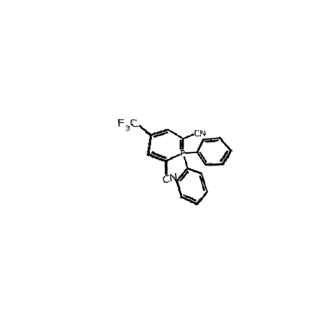 N#CC1=CC(C(F)(F)F)=CC(C#N)=P1(c1ccccc1)c1ccccc1